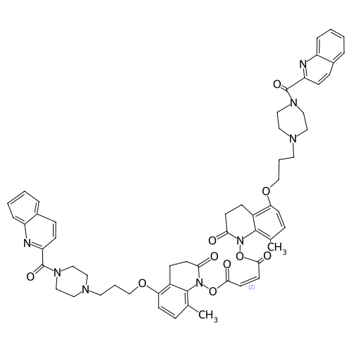 Cc1ccc(OCCCN2CCN(C(=O)c3ccc4ccccc4n3)CC2)c2c1N(OC(=O)/C=C\C(=O)ON1C(=O)CCc3c(OCCCN4CCN(C(=O)c5ccc6ccccc6n5)CC4)ccc(C)c31)C(=O)CC2